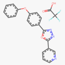 O=C(O)C(F)(F)F.c1ccc(Oc2ccc(-c3nnc(-c4cccnc4)o3)cc2)cc1